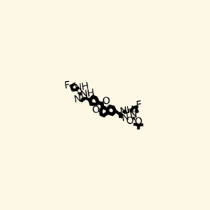 CC(C)(C)OC(=O)N1C[C@H](F)C[C@H]1c1ncc(-c2ccc3c(ccc4oc5cc(-c6cnc([C@@H]7C[C@@H](F)CN7)[nH]6)ccc5c(=O)c43)c2)[nH]1